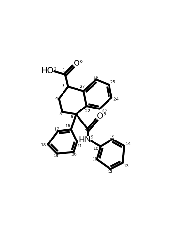 O=C(O)C1CCC(C(=O)Nc2ccccc2)(c2ccccc2)c2ccccc21